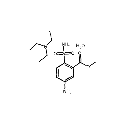 CCN(CC)CC.COC(=O)c1cc(N)ccc1S(N)(=O)=O.O